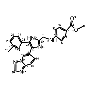 COC(=O)c1ccc(NCc2nc(-c3ccc4ncnn4c3)c(-c3cccc(C)n3)[nH]2)cc1